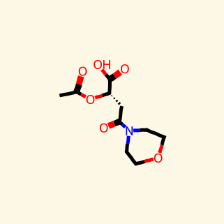 CC(=O)O[C@@H](CC(=O)N1CCOCC1)C(=O)O